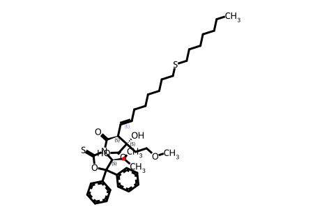 CCCCCCCSCCCCCC/C=C/[C@H](C(=O)N1C(=S)OC(c2ccccc2)(c2ccccc2)[C@@H]1C(C)C)[C@@](O)(CCOC)C(=O)O